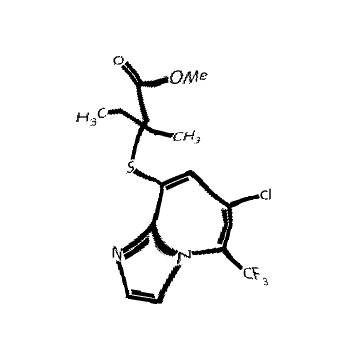 COC(=O)C(C)(C)Sc1cc(Cl)c(C(F)(F)F)n2ccnc12